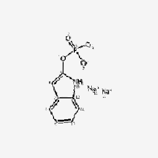 O=P([O-])([O-])Oc1cc2ccccc2[nH]1.[Na+].[Na+]